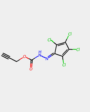 C#CCOC(=O)NN=C1C(Cl)=C(Cl)C(Cl)=C1Cl